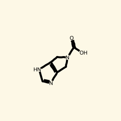 O=C(O)N1Cc2nc[nH]c2C1